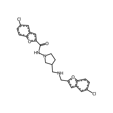 O=C(NN1CCC(CNCc2cc3cc(Cl)ccc3o2)C1)c1cc2cc(Cl)ccc2o1